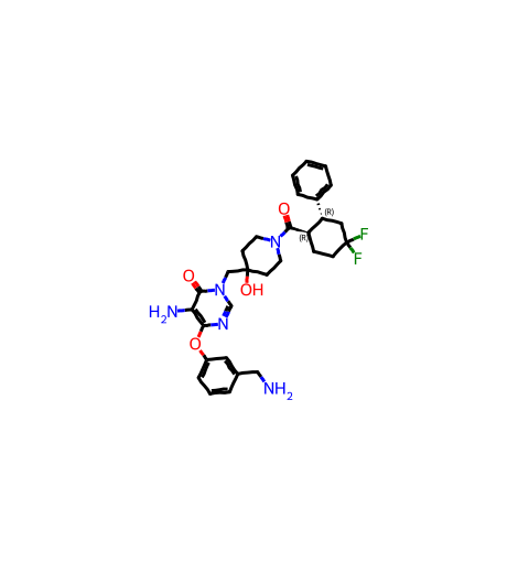 NCc1cccc(Oc2ncn(CC3(O)CCN(C(=O)[C@@H]4CCC(F)(F)C[C@H]4c4ccccc4)CC3)c(=O)c2N)c1